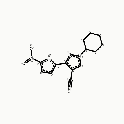 N#Cc1cn(C2CCCCC2)nc1-c1ccc([N+](=O)[O-])o1